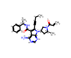 C=CC(=O)N1C[C@H](n2c(C#CCC)c(C(=O)N[C@H](C)c3ccccc3)c3c(N)ncnc32)C[C@@H]1C